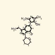 C=Cc1nn(C2CCCCO2)c2c(F)cc(-c3c(C)nn(C)c3O)cc12